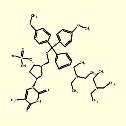 CCN(CC)CC.CCN(CC)CC.COc1ccc(C(OC[C@H]2O[C@@H](n3cc(C)c(=O)[nH]c3=O)C[C@@H]2OP(=O)(O)O)(c2ccccc2)c2ccc(OC)cc2)cc1